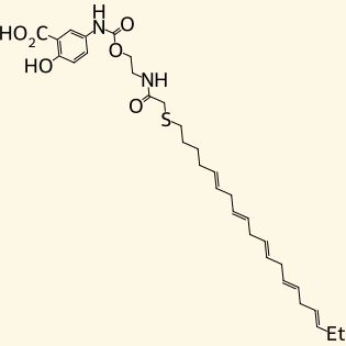 CCC=CCC=CCC=CCC=CCC=CCCCCSCC(=O)NCCOC(=O)Nc1ccc(O)c(C(=O)O)c1